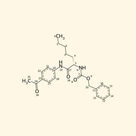 CCCCC[C@H](NC(=O)OCc1ccccc1)C(=O)Nc1ccc(C(C)=O)cc1